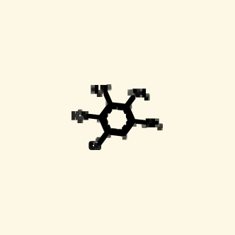 Nc1c[c]([Co])c(N)c(N)c1N